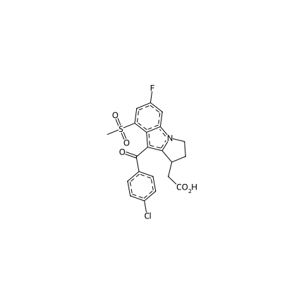 CS(=O)(=O)c1cc(F)cc2c1c(C(=O)c1ccc(Cl)cc1)c1n2CCC1CC(=O)O